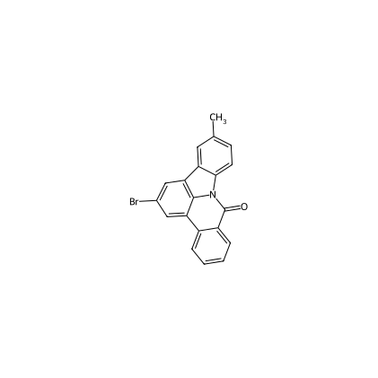 Cc1ccc2c(c1)c1cc(Br)cc3c4ccccc4c(=O)n2c31